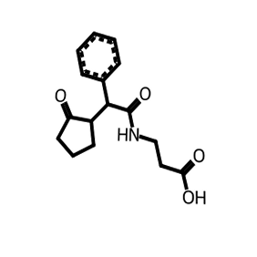 O=C(O)CCNC(=O)C(c1ccccc1)C1CCCC1=O